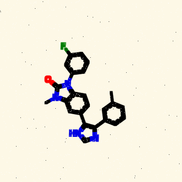 Cc1cccc(-c2nc[nH]c2-c2ccc3c(c2)n(C)c(=O)n3-c2cccc(F)c2)c1